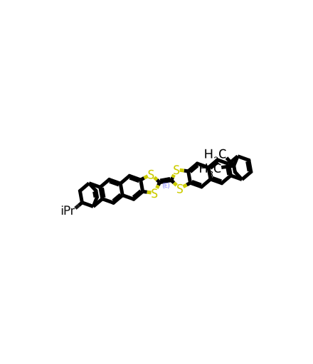 CC(C)C1CC2C=CC1c1cc3cc4c(cc3cc12)S/C(=C1/Sc2cc3cc5c(cc3cc2S1)C1C=CC5CC1(C)C)S4